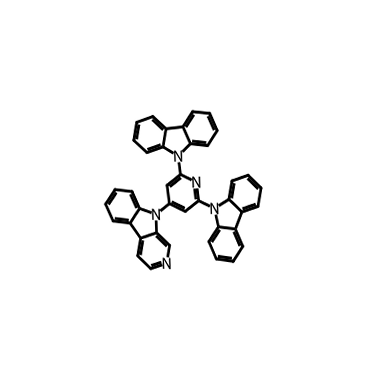 c1ccc2c(c1)c1ccncc1n2-c1cc(-n2c3ccccc3c3ccccc32)nc(-n2c3ccccc3c3ccccc32)c1